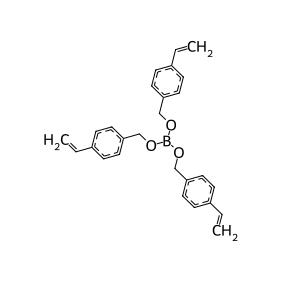 C=Cc1ccc(COB(OCc2ccc(C=C)cc2)OCc2ccc(C=C)cc2)cc1